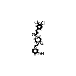 O=C(C=Cc1ccc(Cl)c(Cl)c1)N1CCC(=O)N(CCN2CCC[C@@H](O)C2)CC1